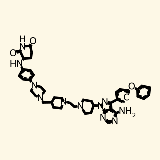 Nc1ncnc2c1c(-c1ccc(Oc3ccccc3)cc1)nn2C1CCN(CCN2CCC(CN3CCN(c4ccc(NC5CCC(=O)NC5=O)cc4)CC3)CC2)CC1